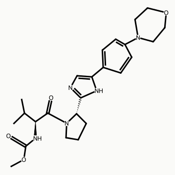 COC(=O)N[C@H](C(=O)N1CCC[C@H]1c1ncc(-c2ccc(N3CCOCC3)cc2)[nH]1)C(C)C